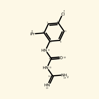 CC(C)c1cc(Cl)ccc1NC(=O)NC(=N)N